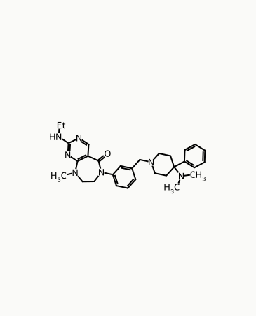 CCNc1ncc2c(n1)N(C)CCN(c1cccc(CN3CCC(c4ccccc4)(N(C)C)CC3)c1)C2=O